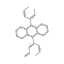 C=C/C=C(\C=C/C)c1c2ccccc2c(C(/C=C\C)=C/C)c2ccccc12